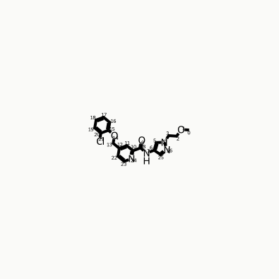 COCCn1cc(NC(=O)c2cc(COc3ccccc3Cl)ccn2)cn1